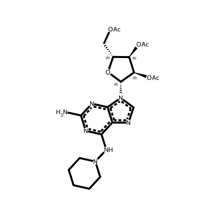 CC(=O)OC[C@H]1O[C@@H](n2cnc3c(NN4CCCCC4)nc(N)nc32)[C@H](OC(C)=O)[C@@H]1OC(C)=O